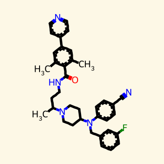 Cc1cc(-c2ccncc2)cc(C)c1C(=O)NCCC(C)N1CCC(N(Cc2cccc(F)c2)c2ccc(C#N)cc2)CC1